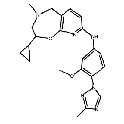 COc1cc(Nc2ccc3c(n2)OC(C2CC2)CN(C)C3)ccc1-n1cnc(C)n1